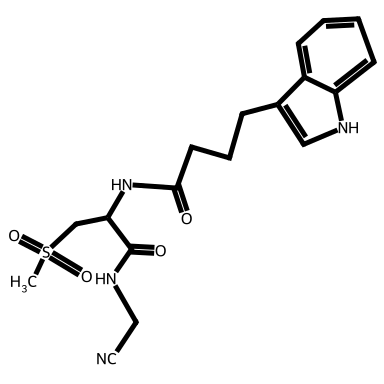 CS(=O)(=O)CC(NC(=O)CCCc1c[nH]c2ccccc12)C(=O)NCC#N